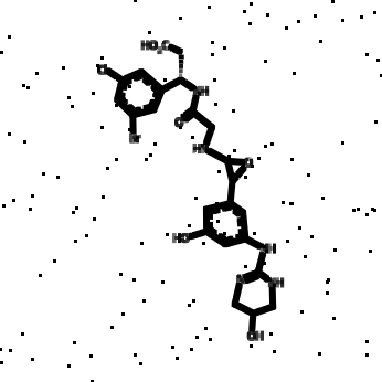 O=C(O)C[C@H](NC(=O)CNC1OC1c1cc(O)cc(NC2=NCC(O)CN2)c1)c1cc(Cl)cc(Br)c1